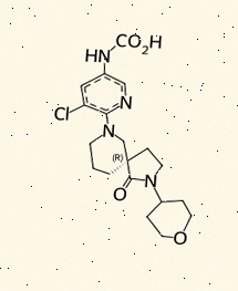 O=C(O)Nc1cnc(N2CCC[C@@]3(CCN(C4CCOCC4)C3=O)C2)c(Cl)c1